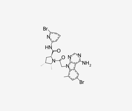 Cc1cc(Br)cc2c3c(N)ncnc3n(CC(=O)N3[C@H](C)[C@H](C)C[C@H]3C(=O)Nc3cccc(Br)n3)c12